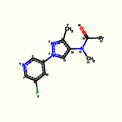 Cc1nn(-c2cncc(F)c2)cc1N(C)C(=O)C(C)C